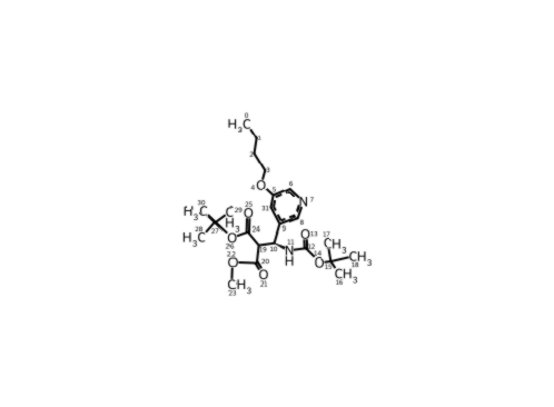 CCCCOc1cncc([C@@H](NC(=O)OC(C)(C)C)C(C(=O)OC)C(=O)OC(C)(C)C)c1